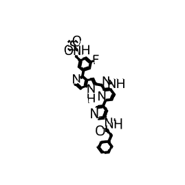 CS(=O)(=O)NCc1cc(F)cc(-c2nccc3[nH]c(-c4n[nH]c5ccc(-c6cncc(NC(=O)CC7CCCCC7)c6)nc45)cc23)c1